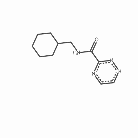 O=C(NCC1CCCCC1)c1nccnn1